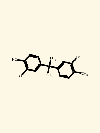 Cc1ccc(C(C)(C)c2ccc(O)c(Cl)c2)cc1Br